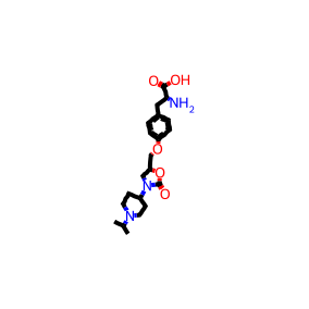 CC(C)N1CCC(N2CC(COc3ccc(CC(N)C(=O)O)cc3)OC2=O)CC1